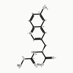 COC(=O)[C@H](Cc1cnc2ccc(C)cc2c1)NC(=O)OC(C)(C)C